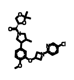 COc1ccc(C2CN(C(=O)[C@@H]3COC(C)(C)O3)CC2C)cc1OC1CN(c2ccc(Cl)cn2)C1